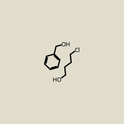 OCCCCCl.OCc1ccccc1